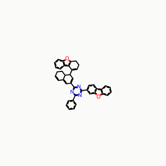 C1=CC2=CC(c3nc(-c4ccccc4)nc(-c4ccc5c(c4)oc4ccccc45)n3)=CC(C3=CCCc4oc5ccccc5c43)C2CC1